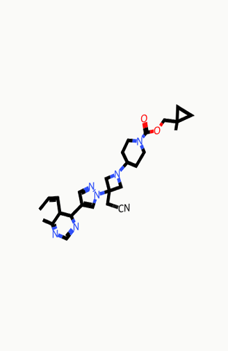 C/C=C\C1C(C)=NC=NC1c1cnn(C2(CC#N)CN(C3CCN(C(=O)OCC4(C)CC4)CC3)C2)c1